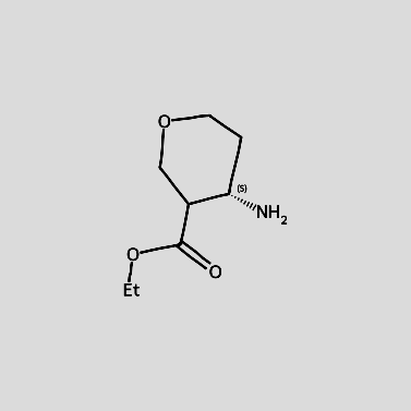 CCOC(=O)C1COCC[C@@H]1N